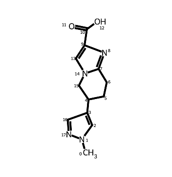 Cn1cc(C2CCc3nc(C(=O)O)cn3C2)cn1